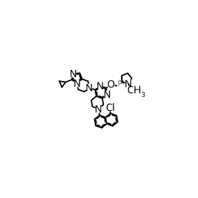 CN1CCC[C@H]1COc1nc2c(c(N3CCn4c(cnc4C4CC4)C3)n1)CCN(c1cccc3cccc(Cl)c13)C2